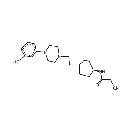 N#CCC(=O)N[C@H]1CC[C@H](CCN2CCN(c3cccc(O)c3)CC2)CC1